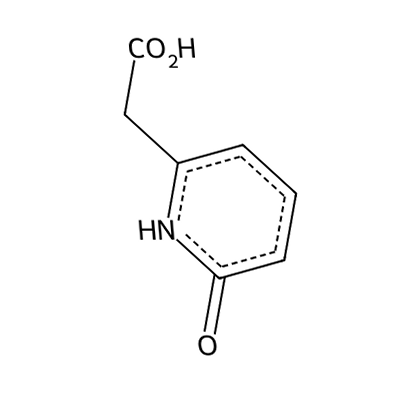 O=C(O)Cc1cccc(=O)[nH]1